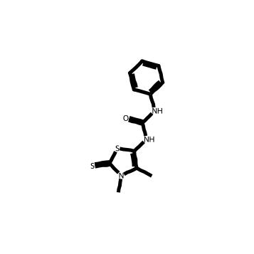 Cc1c(NC(=O)Nc2ccccc2)sc(=S)n1C